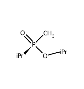 CC(C)O[P@@](C)(=O)C(C)C